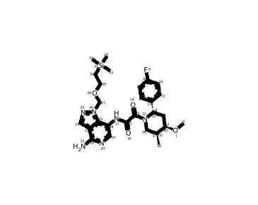 CO[C@@H]1C[C@@H](c2ccc(F)cc2)N(C(=O)C(=O)Nc2cnc(N)c3cnn(COCC[Si](C)(C)C)c23)C[C@@H]1C